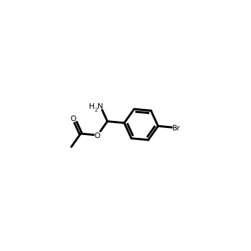 CC(=O)OC(N)c1ccc(Br)cc1